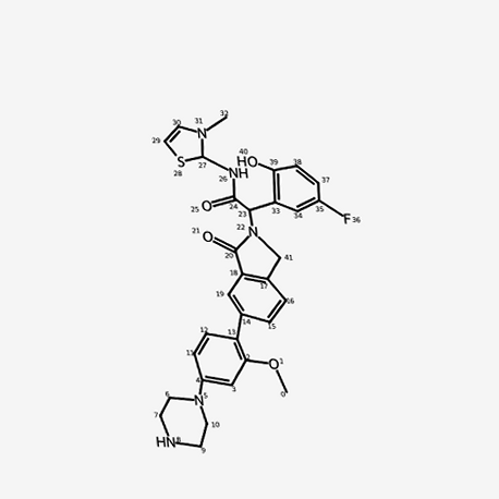 COc1cc(N2CCNCC2)ccc1-c1ccc2c(c1)C(=O)N(C(C(=O)NC1SC=CN1C)c1cc(F)ccc1O)C2